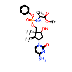 C=C1[C@@H](n2ccc(N)nc2=O)C[C@H](O)[C@@]1(C)COP(=O)(N[C@@H](C)C(=O)OC(C)C)Oc1ccccc1